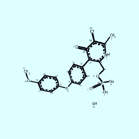 Cc1[nH]c(COP(=O)(O)O)c(-c2ccc(Oc3ccc(OC(F)(F)F)cc3)cc2)c(=O)c1Cl.[KH]